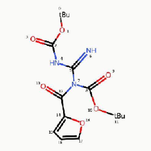 CC(C)(C)OC(=O)NC(=N)N(C(=O)OC(C)(C)C)C(=O)c1ccco1